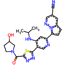 CC(C)Nc1cc(-c2ccc3cc(C#N)cnn23)ncc1-c1nnc(C(=O)N2CCC(O)C2)s1